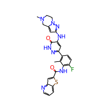 Cc1c(-c2cc(Nc3cc4n(n3)CCN(C)C4)c(=O)[nH]n2)ccc(F)c1NC(=O)c1cc2ncccc2s1